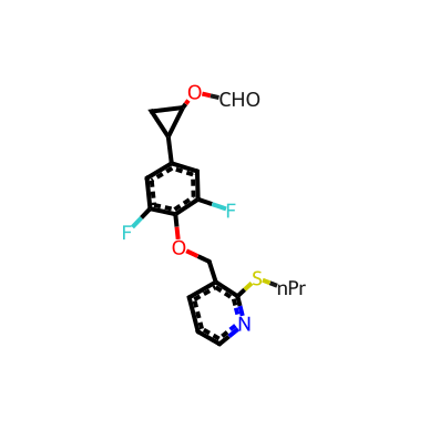 CCCSc1ncccc1COc1c(F)cc(C2CC2OC=O)cc1F